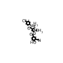 Cc1c(C(=O)Nc2ccc(Cl)cc2)cc(OC(=O)c2ccc(O)c(C#N)c2)n1C